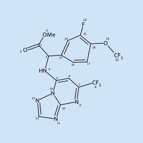 COC(=O)C(Nc1cc(C(F)(F)F)nc2ncnn12)c1ccc(OC(F)(F)F)c(F)c1